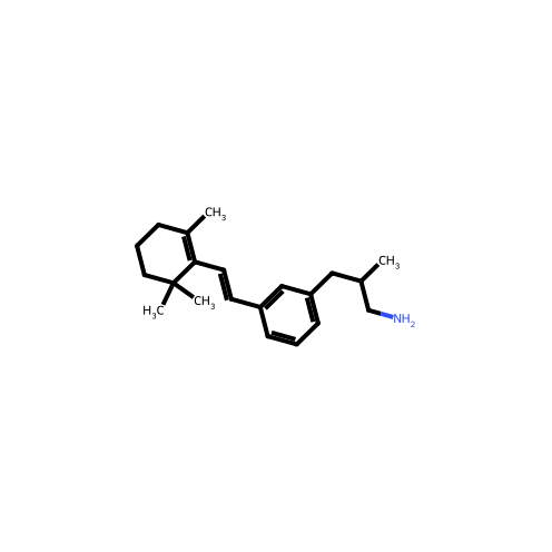 CC1=C(C=Cc2cccc(CC(C)CN)c2)C(C)(C)CCC1